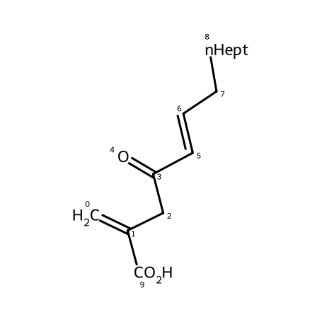 C=C(CC(=O)C=CCCCCCCCC)C(=O)O